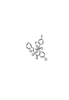 O=S(=O)(Nc1cc(Cl)ccc1NS(=O)(=O)c1ccc(F)cc1F)c1cc2ccccc2o1